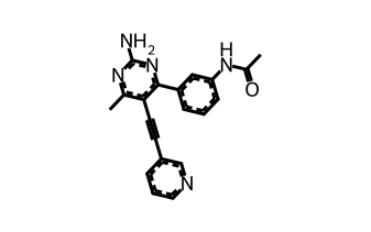 CC(=O)Nc1cccc(-c2nc(N)nc(C)c2C#Cc2cccnc2)c1